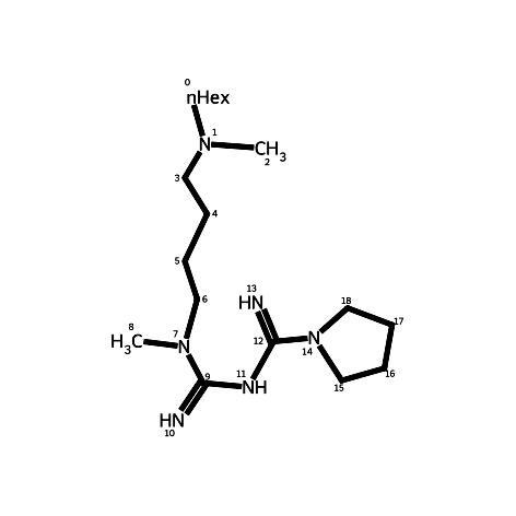 CCCCCCN(C)CCCCN(C)C(=N)NC(=N)N1CCCC1